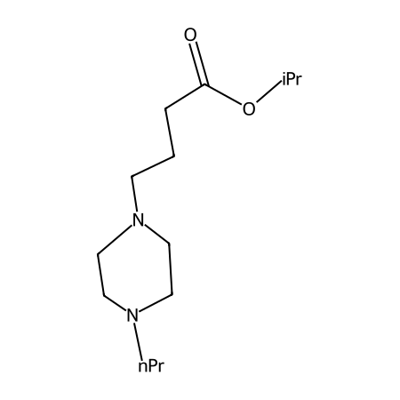 CCCN1CCN(CCCC(=O)OC(C)C)CC1